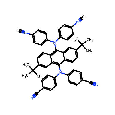 [C-]#[N+]c1ccc(N(c2ccc([N+]#[C-])cc2)c2c3ccc(C(C)(C)C)cc3c(N(c3ccc(C#N)cc3)c3ccc(C#N)cc3)c3ccc(C(C)(C)C)cc23)cc1